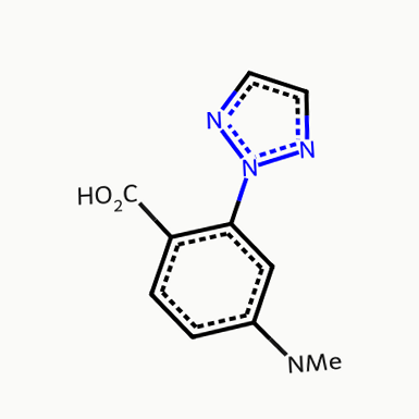 CNc1ccc(C(=O)O)c(-n2nccn2)c1